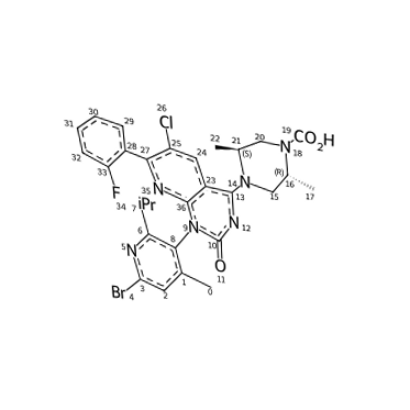 Cc1cc(Br)nc(C(C)C)c1-n1c(=O)nc(N2C[C@@H](C)N(C(=O)O)C[C@@H]2C)c2cc(Cl)c(-c3ccccc3F)nc21